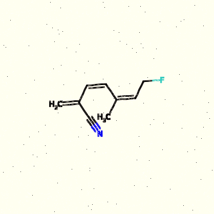 C=C(C#N)/C=C\C(C)=C/CF